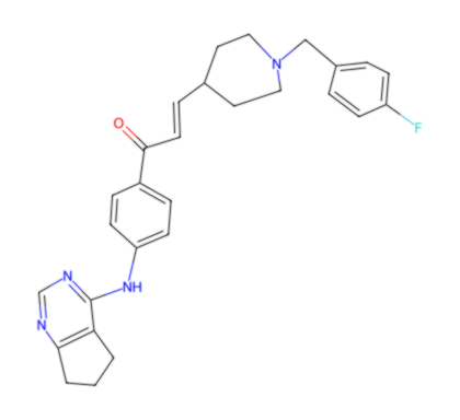 O=C(C=CC1CCN(Cc2ccc(F)cc2)CC1)c1ccc(Nc2ncnc3c2CCC3)cc1